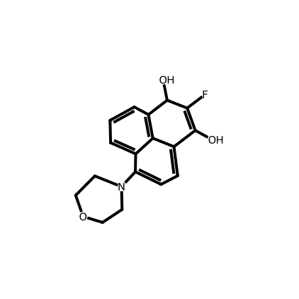 OC1=C(F)C(O)c2cccc3c(N4CCOCC4)ccc1c23